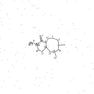 CC1CCCC2C(=S)N(C(C)C)CCC2CC(C)C1